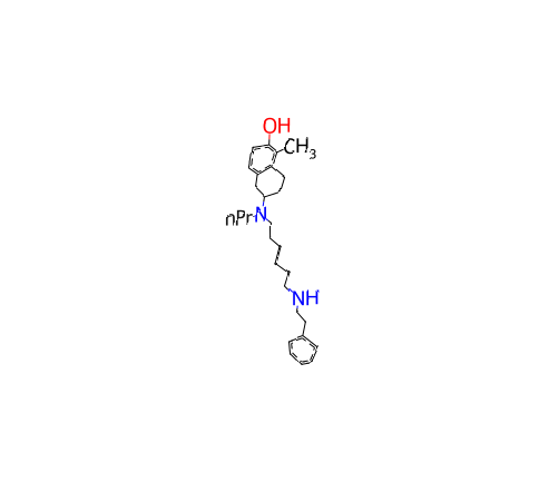 CCCN(CCCCCCNCCc1ccccc1)C1CCc2c(ccc(O)c2C)C1